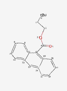 CC(C)(C)CCOC(=O)c1c2ccccc2cc2ccccc12